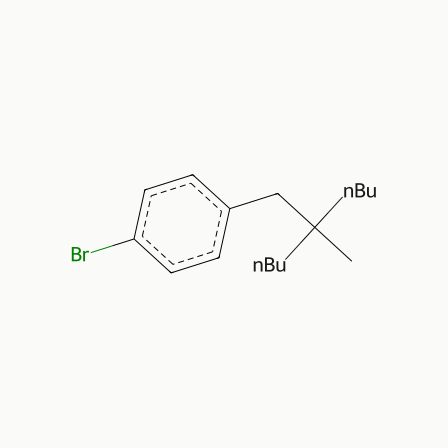 CCCCC(C)(CCCC)Cc1ccc(Br)cc1